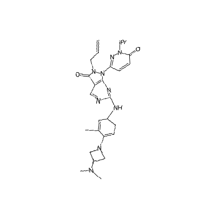 C=CCn1c(=O)c2cnc(NC3C=C(C)C(N4CC(N(C)C)C4)=CC3)nc2n1-c1ccc(=O)n(C(C)C)n1